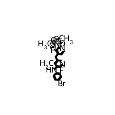 Cc1c(Cc2ccnc(N(S(C)(=O)=O)S(C)(=O)=O)c2F)cncc1Nc1ccc(Br)cc1F